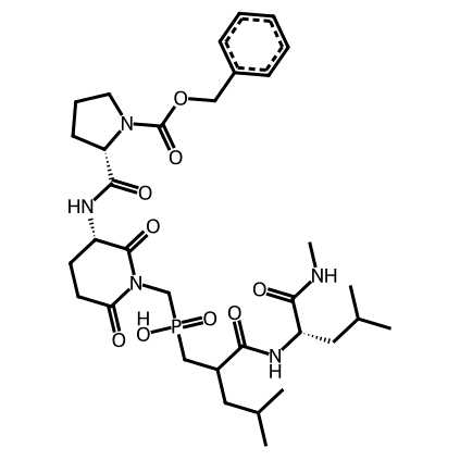 CNC(=O)[C@H](CC(C)C)NC(=O)C(CC(C)C)CP(=O)(O)CN1C(=O)CC[C@H](NC(=O)[C@@H]2CCCN2C(=O)OCc2ccccc2)C1=O